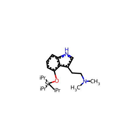 CC(C)[Si](Oc1cccc2[nH]cc(CCN(C)C)c12)(C(C)C)C(C)C